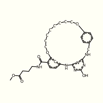 COC(=O)CCCNC(=O)c1ccc2cc1OCCCCCCCCOc1ccc(cc1)CNc1nc(O)nc(n1)N2